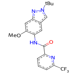 COc1cc2nn(C(C)(C)C)cc2cc1NC(=O)c1cccc(C(F)(F)F)n1